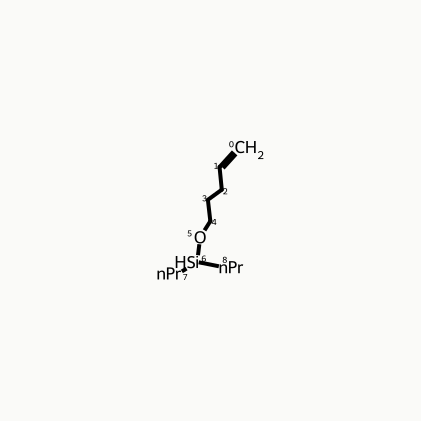 C=CCCCO[SiH](CCC)CCC